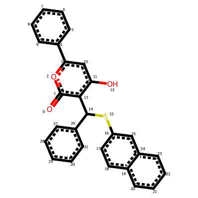 O=c1oc(-c2ccccc2)cc(O)c1C(Sc1ccc2ccccc2c1)c1ccccc1